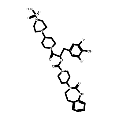 NS(=O)(=O)N1CCN(C2CCN(C(=O)C(Cc3cc(Br)c(O)c(Br)c3)OC(=O)N3CCC(N4CCc5ccccc5NC4=O)CC3)CC2)CC1